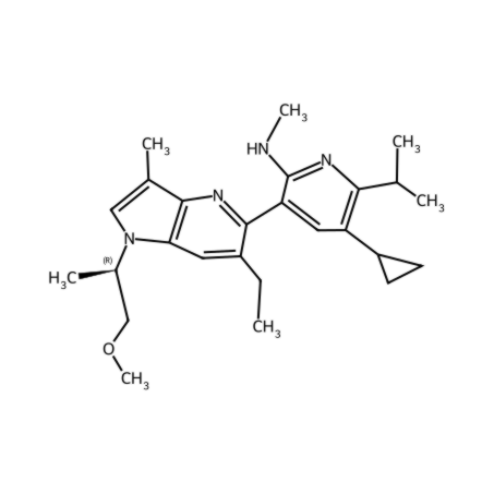 CCc1cc2c(nc1-c1cc(C3CC3)c(C(C)C)nc1NC)c(C)cn2[C@H](C)COC